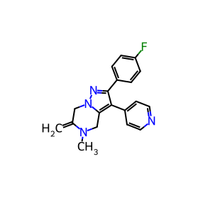 C=C1Cn2nc(-c3ccc(F)cc3)c(-c3ccncc3)c2CN1C